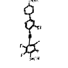 CCCCCC1CCC(c2ccc(C#Cc3c(F)c(F)c(SC#N)c(F)c3F)c(CC)c2)CC1